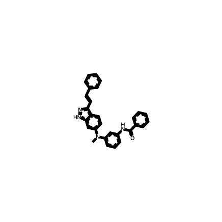 CN(c1cccc(NC(=O)c2ccccc2)c1)c1ccc2c(/C=C/c3ccccc3)n[nH]c2c1